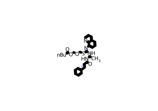 CCCCC(=O)OCOCS/C(=N/c1cccc2cccnc12)NC(C)NC(=O)/C=C/c1ccccc1